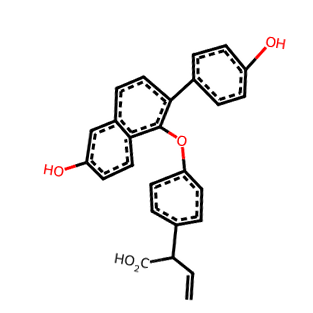 C=CC(C(=O)O)c1ccc(Oc2c(-c3ccc(O)cc3)ccc3cc(O)ccc23)cc1